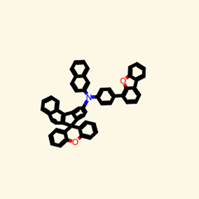 c1ccc2c(c1)Oc1ccccc1C21c2ccc(N(c3ccc(-c4cccc5c4oc4ccccc45)cc3)c3ccc4ccccc4c3)cc2-c2c1ccc1ccccc21